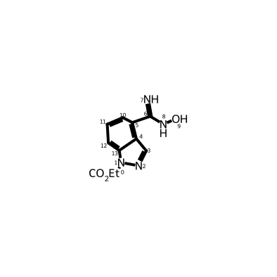 CCOC(=O)n1ncc2c(C(=N)NO)cccc21